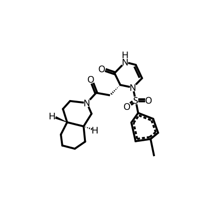 Cc1ccc(S(=O)(=O)N2C=CNC(=O)[C@H]2CC(=O)N2CC[C@H]3CCCC[C@@H]3C2)cc1